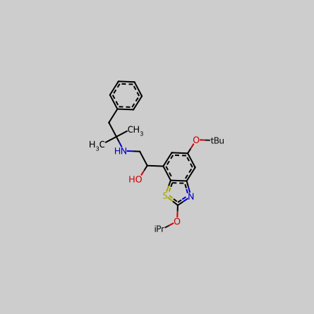 CC(C)Oc1nc2cc(OC(C)(C)C)cc(C(O)CNC(C)(C)Cc3ccccc3)c2s1